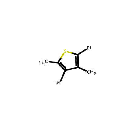 CCc1sc(C)c(C(C)C)c1C